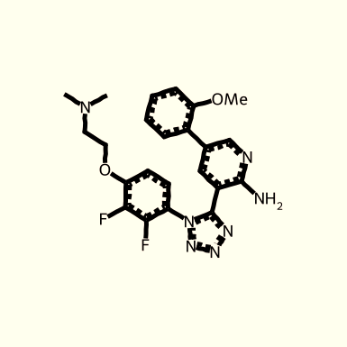 COc1ccccc1-c1cnc(N)c(-c2nnnn2-c2ccc(OCCN(C)C)c(F)c2F)c1